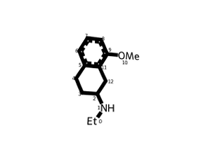 CCNC1CCc2cccc(OC)c2C1